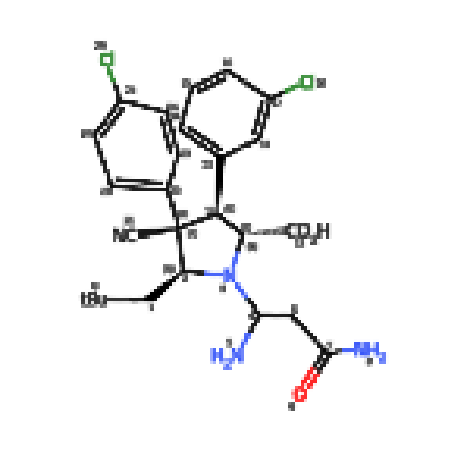 CC(C)(C)C[C@@H]1N(C(N)CC(N)=O)[C@@H](C(=O)O)[C@H](c2cccc(Cl)c2)[C@@]1(C#N)c1ccc(Cl)cc1